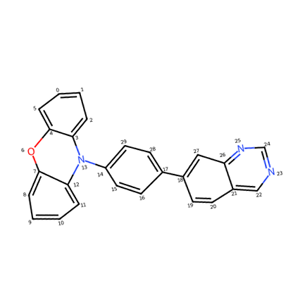 c1ccc2c(c1)Oc1ccccc1N2c1ccc(-c2ccc3cncnc3c2)cc1